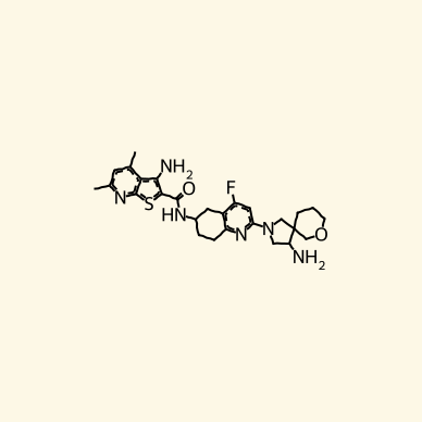 Cc1cc(C)c2c(N)c(C(=O)NC3CCc4nc(N5CC(N)C6(CCCOC6)C5)cc(F)c4C3)sc2n1